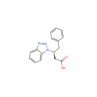 O=C(O)C[C@H](Cc1ccccc1)n1cnc2ccccc21